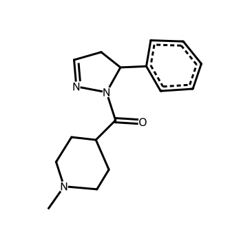 CN1CCC(C(=O)N2N=CCC2c2ccccc2)CC1